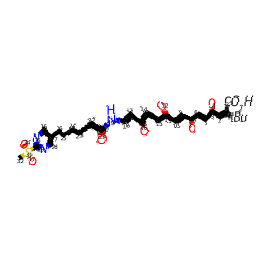 CC(C)(C)C(=CC(=O)C=CC(=O)C=CC(=O)C=CC(=O)C=CNC(=O)CCCCCc1cnc(S(C)(=O)=O)nc1)C(=O)O